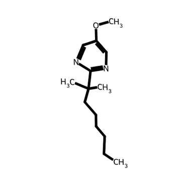 CCCCCCC(C)(C)c1ncc(OC)cn1